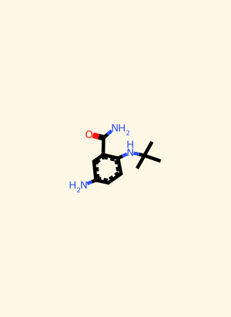 CC(C)(C)Nc1ccc(N)cc1C(N)=O